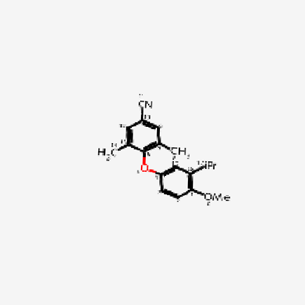 COc1ccc(Oc2c(C)cc(C#N)cc2C)cc1C(C)C